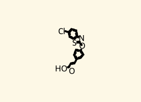 O=C(O)C=Cc1ccc(Oc2nc3ccc(Cl)cc3s2)cc1